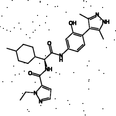 CCn1nccc1C(=O)N[C@H](C(=O)Nc1ccc(-c2c(C)n[nH]c2C)c(O)c1)C1CCC(C)CC1